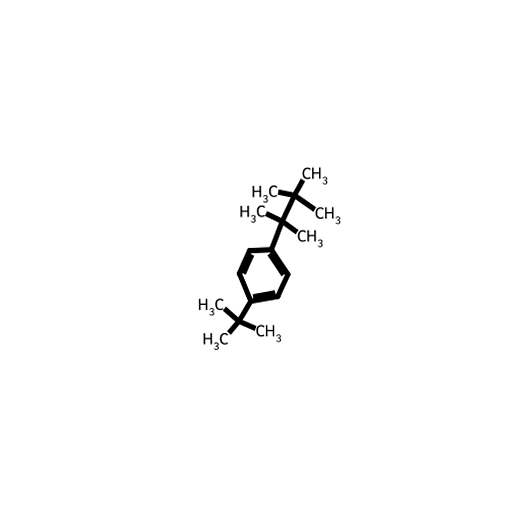 CC(C)(C)c1ccc(C(C)(C)C(C)(C)C)cc1